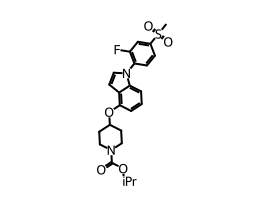 CC(C)OC(=O)N1CCC(Oc2cccc3c2ccn3-c2ccc(S(C)(=O)=O)cc2F)CC1